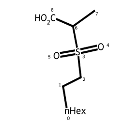 CCCCCCCCS(=O)(=O)C(C)C(=O)O